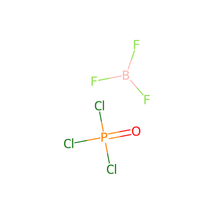 FB(F)F.O=P(Cl)(Cl)Cl